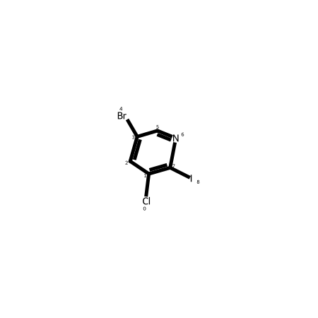 Clc1cc(Br)cnc1I